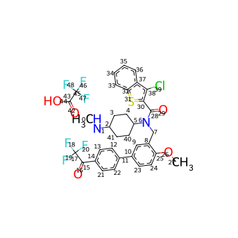 CNC1CCC(N(Cc2cc(-c3ccc(C(=O)C(F)(F)F)cc3)ccc2OC)C(=O)c2sc3ccccc3c2Cl)CC1.O=C(O)C(F)(F)F